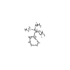 C[Si](C)([AlH2])c1ccccc1